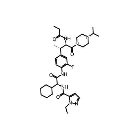 CCC(=O)N[C@@H](C(=O)N1CCN(C(C)C)CC1)[C@@H](C)c1ccc(NC(=O)[C@@H](NC(=O)c2ccnn2CC)C2CCCCC2)c(F)c1